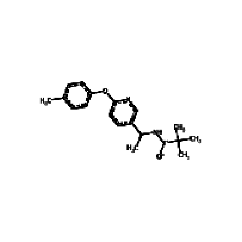 Cc1ccc(Oc2ccc(C(C)N[S+]([O-])C(C)(C)C)cn2)cc1